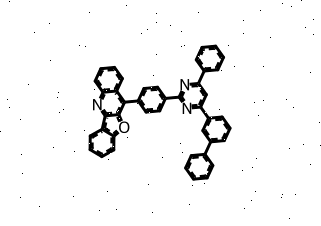 c1ccc(-c2cccc(-c3cc(-c4ccccc4)nc(-c4ccc(-c5c6ccccc6nc6c5oc5ccccc56)cc4)n3)c2)cc1